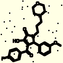 COc1cccc(C2C(C(=O)c3ccc(F)cc3)=C(O)C(=O)N2CCCN2CCOCC2)c1